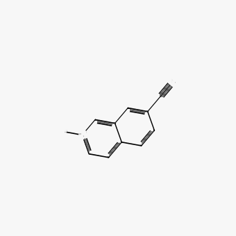 N#Cc1ccc2cc[n+]([O-])cc2c1